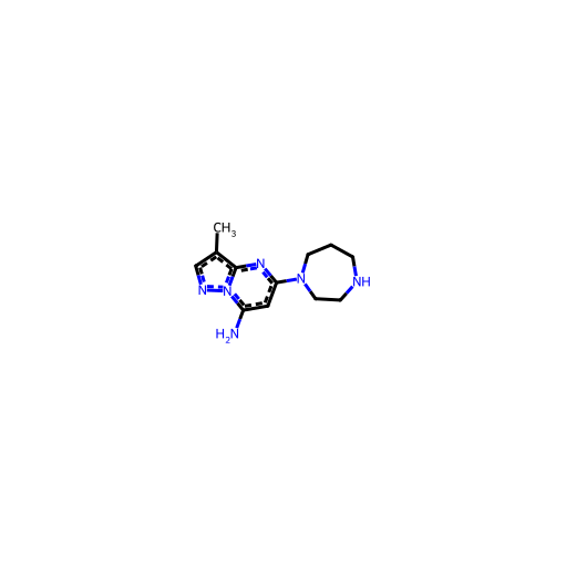 Cc1cnn2c(N)cc(N3CCCNCC3)nc12